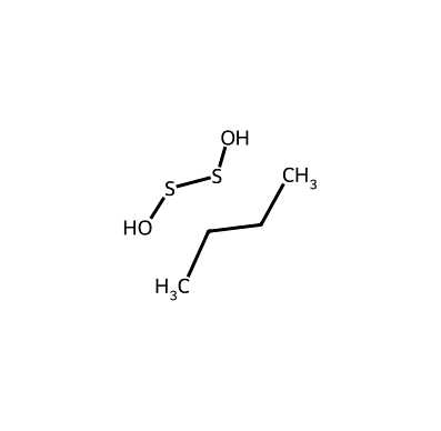 CCCC.OSSO